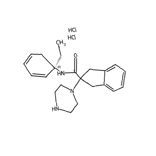 CC[C@]1(NC(=O)C2(N3CCNCC3)Cc3ccccc3C2)C=CC=CC1.Cl.Cl